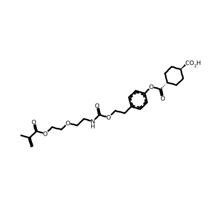 C=C(C)C(=O)OCCOCCNC(=O)OCCc1ccc(OC(=O)[C@H]2CC[C@H](C(=O)O)CC2)cc1